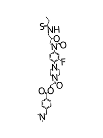 CCC(=S)NCC1CN(c2ccc(N3CCN(C(=O)COC(=O)c4ccc(CN(C)C)cc4)CC3)c(F)c2)C(=O)O1